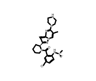 Cc1cn2nc([C@@H]3CCCCN3C(=O)c3cc(Cl)ccc3N[S+](C)[O-])cc2nc1N1CCNCC1